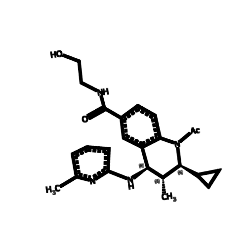 CC(=O)N1c2ccc(C(=O)NCCO)cc2[C@H](Nc2cccc(C)n2)[C@@H](C)[C@@H]1C1CC1